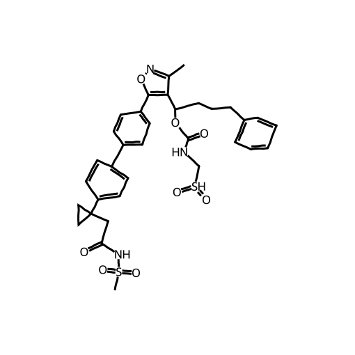 Cc1noc(-c2ccc(-c3ccc(C4(CC(=O)NS(C)(=O)=O)CC4)cc3)cc2)c1C(CCCc1ccccc1)OC(=O)NC[SH](=O)=O